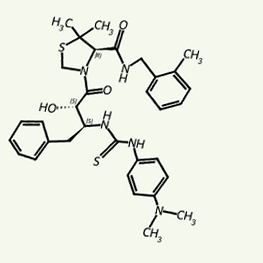 Cc1ccccc1CNC(=O)[C@H]1N(C(=O)[C@@H](O)[C@H](Cc2ccccc2)NC(=S)Nc2ccc(N(C)C)cc2)CSC1(C)C